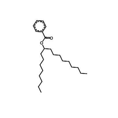 CCCCCCCCCC(CCCCCCCC)OC(=O)c1ccccc1